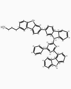 CCCCc1ccc2oc3cc(-c4ccc5c6ccccc6n(-c6nc(-c7ccccc7)nc(-c7cccc8oc9ccccc9c78)n6)c5c4)ccc3c2c1